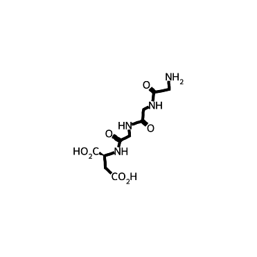 NCC(=O)NCC(=O)NCC(=O)N[C@@H](CC(=O)O)C(=O)O